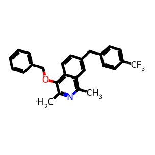 [CH2]c1nc(C)c2cc(Cc3ccc(C(F)(F)F)cc3)ccc2c1OCc1ccccc1